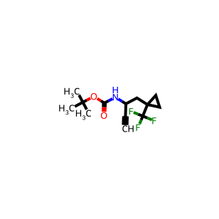 C#CC(CC1(C(F)(F)F)CC1)NC(=O)OC(C)(C)C